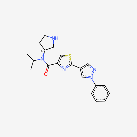 CC(C)N(C(=O)c1csc(-c2cnn(-c3ccccc3)c2)n1)[C@H]1CCNC1